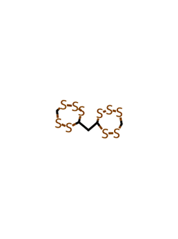 C1SSSC(CC2SSCSSS2)SS1